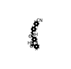 N#Cc1ccc(-c2ccc(CNC(=O)c3ccc4c(c3)NC(=O)c3ccccc3S4)cc2)cc1